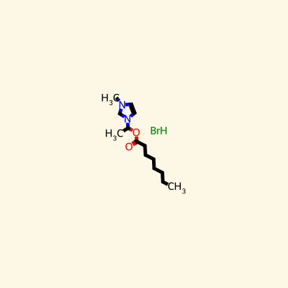 Br.CCCCCCCC(=O)OC(C)N1C=CN(C)C1